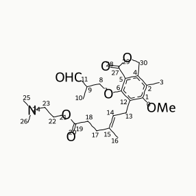 COc1c(C)c2c(c(OCC(C)C=O)c1C/C=C(\C)CCC(=O)OCCN(C)C)C(=O)OC2